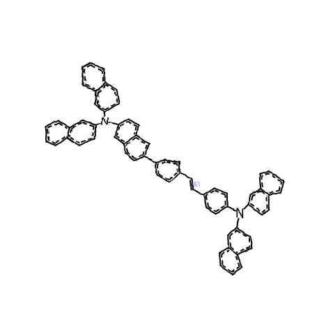 C(=C\c1ccc(N(c2ccc3ccccc3c2)c2ccc3ccccc3c2)cc1)/c1ccc(-c2ccc3cc(N(c4ccc5ccccc5c4)c4ccc5ccccc5c4)ccc3c2)cc1